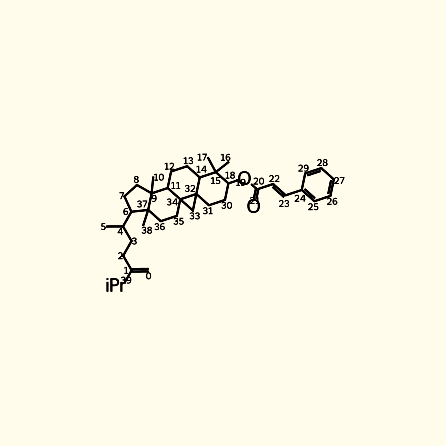 C=C(CCC(C)C1CCC2(C)C3CCC4C(C)(C)C(OC(=O)/C=C/c5ccccc5)CCC45CC35CCC12C)C(C)C